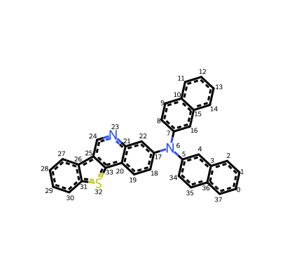 c1ccc2cc(N(c3ccc4ccccc4c3)c3ccc4c(c3)ncc3c5ccccc5sc43)ccc2c1